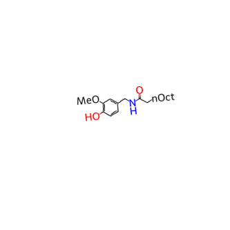 CCCCCCCCCC(=O)NCc1ccc(O)c(OC)c1